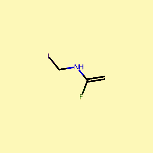 C=C(F)NCI